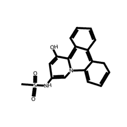 CS(=O)(=O)NC1=CN2C3=CC=CCC3=c3ccccc3=C2C(O)=C1